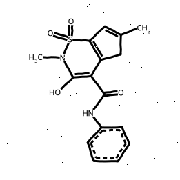 CC1=CC2=C(C1)C(C(=O)Nc1ccccc1)=C(O)N(C)S2(=O)=O